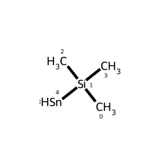 C[Si](C)(C)[SnH]